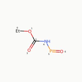 CCOC(=O)NP=O